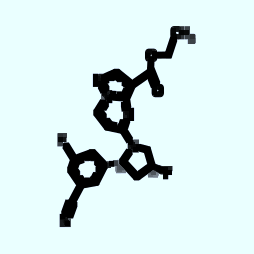 CCOC(=O)c1cnn2ccc(N3C[C@@H](F)C[C@@H]3c3cc(F)cc(C#N)c3)nc12